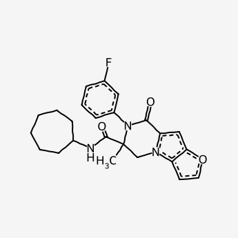 CC1(C(=O)NC2CCCCCC2)Cn2c(cc3occc32)C(=O)N1c1cccc(F)c1